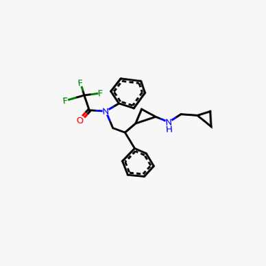 O=C(N(CC(c1ccccc1)C1CC1NCC1CC1)c1ccccc1)C(F)(F)F